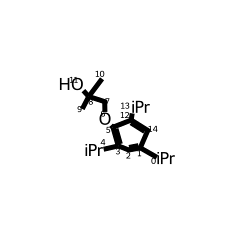 CC(C)c1cc(C(C)C)c(OCC(C)(C)O)c(C(C)C)c1